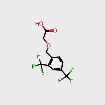 O=C(O)COCc1ccc(C(F)(F)F)cc1C(F)(F)F